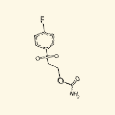 NC(=O)OCCS(=O)(=O)c1ccc(F)cc1